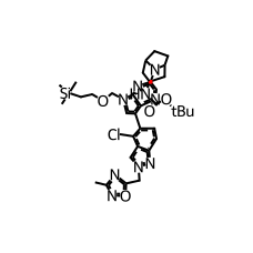 Cc1noc(Cn2cc3c(Cl)c(-c4cn(COCC[Si](C)(C)C)c5nc(N6C7CCC6CC(NC(=O)OC(C)(C)C)C7)cnc45)ccc3n2)n1